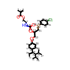 C=C(C)C(=O)OCCNC(=O)OC(COc1ccc(/C(=C/C)C(C(C)C)C(C)C)cc1)CSc1ccc(Cl)cc1